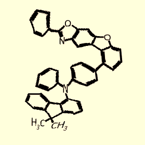 CC1(C)c2ccccc2-c2c(N(c3ccccc3)c3ccc(-c4cccc5oc6cc7oc(-c8ccccc8)nc7cc6c45)cc3)cccc21